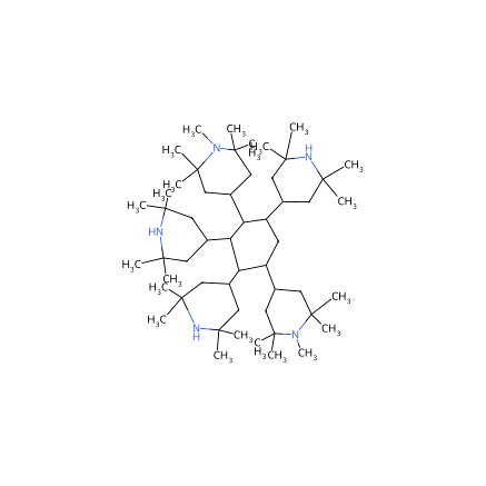 CN1C(C)(C)CC(C2CC(C3CC(C)(C)NC(C)(C)C3)C(C3CC(C)(C)N(C)C(C)(C)C3)C(C3CC(C)(C)NC(C)(C)C3)C2C2CC(C)(C)NC(C)(C)C2)CC1(C)C